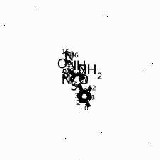 Cc1ccc(CSc2nsc(NC(=O)N(C)C)c2C(N)=O)c(C)c1